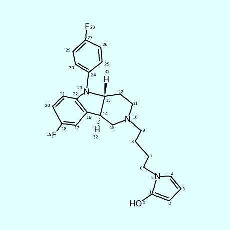 Oc1cccn1CCCCN1CC[C@@H]2[C@@H](C1)c1cc(F)ccc1N2c1ccc(F)cc1